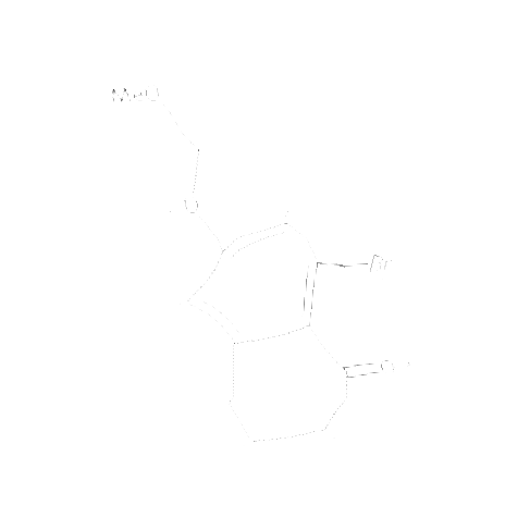 COCOc1cc(Br)c2c(c1)CCCC2=O